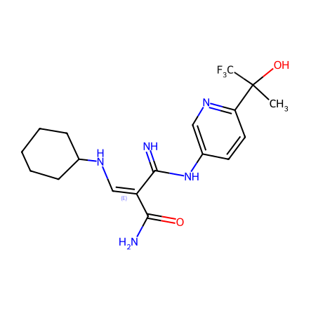 CC(O)(c1ccc(NC(=N)/C(=C\NC2CCCCC2)C(N)=O)cn1)C(F)(F)F